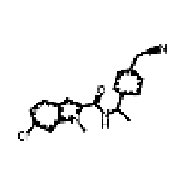 CC(NC(=O)c1cc2ccc(Cl)cc2n1C)c1ccc(CC#N)cc1